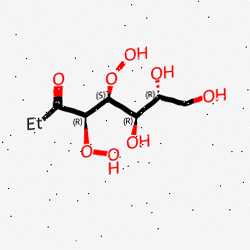 CCC(=O)[C@H](OO)[C@@H](OO)[C@H](O)[C@H](O)CO